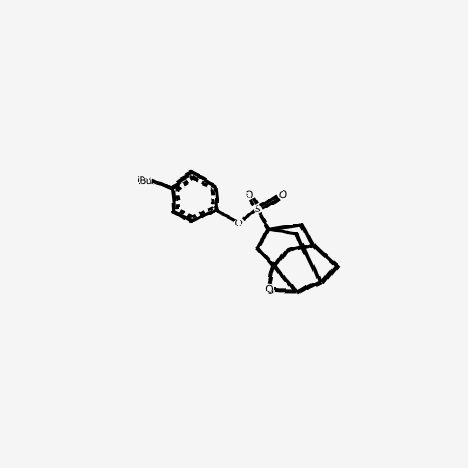 CCC(C)c1ccc(OS(=O)(=O)C23CC4CC(C2)C2OC2(C4)C3)cc1